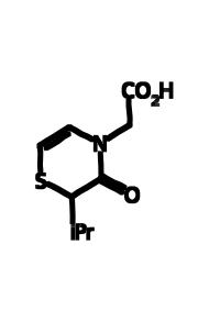 CC(C)C1SC=CN(CC(=O)O)C1=O